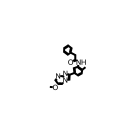 COc1cnc2nc(-c3ccc(C)c(NC(=O)Cc4ccccc4)c3)cn2c1